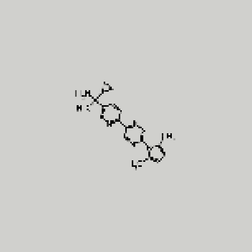 Cc1ccc(C)n1-c1cnc(-c2ccc(C(C)(N)C3CC3)cn2)cn1